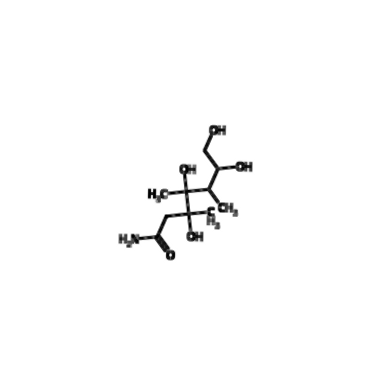 CC(C(O)CO)C(C)(O)C(C)(O)CC(N)=O